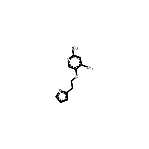 CC(C)(C)c1cc(C(F)(F)F)c(OCCc2cccs2)cn1